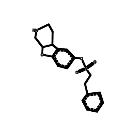 O=S(=O)(CCc1ccccc1)Oc1ccc2c(c1)C1CCNCC1O2